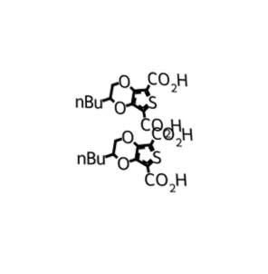 CCCCC1COc2c(C(=O)O)sc(C(=O)O)c2O1.CCCCC1COc2c(C(=O)O)sc(C(=O)O)c2O1